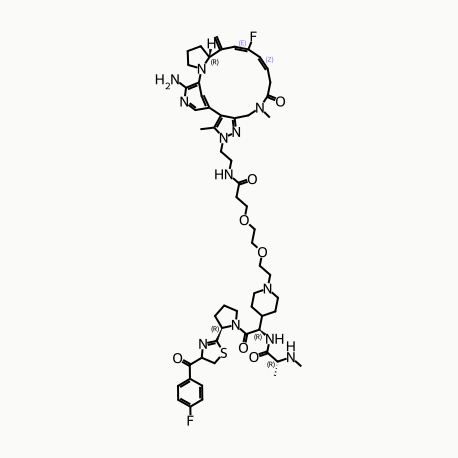 C=C1/C=C(F)\C=C/CC(=O)N(C)Cc2nn(CCNC(=O)CCOCCOCCN3CCC([C@@H](NC(=O)[C@@H](C)NC)C(=O)N4CCC[C@@H]4C4=NC(C(=O)c5ccc(F)cc5)CS4)CC3)c(C)c2-c2cnc(N)c(c2)N2CCC[C@H]12